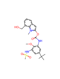 COc1c(NC(=O)Oc2cc3cccc(CO)c3n2C)cc(C(C)(C)C)cc1NS(C)(=O)=O